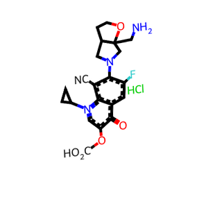 Cl.N#Cc1c(N2CC3CCOC3(CN)C2)c(F)cc2c(=O)c(OC(=O)O)cn(C3CC3)c12